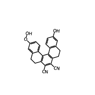 N#Cc1c(C#N)c2c(c3c1CCc1cc(O)ccc1-3)-c1ccc(OO)cc1CC2